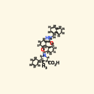 CC(CN(CCC(=O)O)C(=O)c1ccccc1-c1ccccc1C(=O)NCc1cccc2ccccc12)c1ccccc1